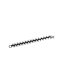 SCCCCCCCCCCCCCCCCCCCCCCCCCCCCCCl